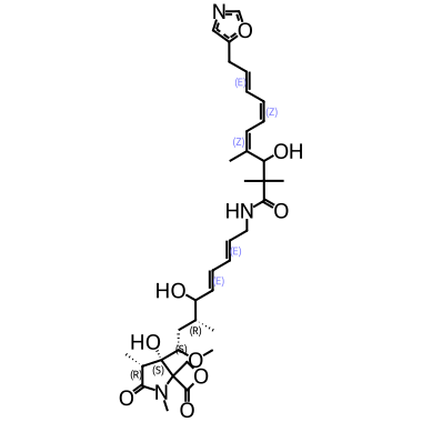 CO[C@@H](C[C@@H](C)C(O)/C=C/C=C/CNC(=O)C(C)(C)C(O)\C(C)=C/C=C\C=C\Cc1cnco1)[C@]1(O)[C@@H](C)C(=O)N(C)C12COC2=O